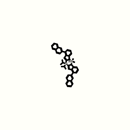 CC(C)[Si]1(C(C)C)C2=Cc3c(-c4ccc5ccccc5c4)cccc3[CH]2[Hf]([CH3])([CH3])[CH]2C1=Cc1c(-c3ccc4ccccc4c3)cccc12